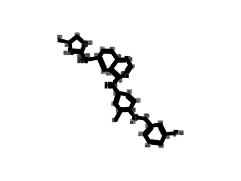 Cc1cc(Nc2ncnc3ccc(NC4=N[C@@H](C)CO4)cc23)ccc1OCc1cccc(F)c1